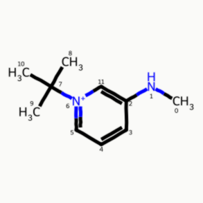 CNc1ccc[n+](C(C)(C)C)c1